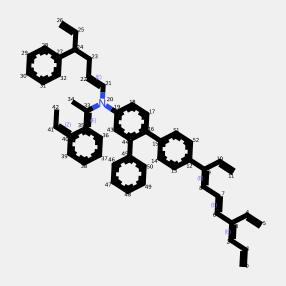 C=C/C=C(C=C)/C=C/C=C(\C=C)c1ccc(-c2ccc(N(/C=C/CC(C=C)c3ccccc3)/C(C)=c3\cccc\c3=C\C)cc2-c2ccccc2)cc1